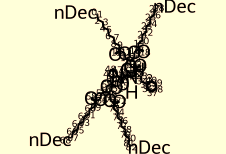 CCCCCCCCCCCCCCCCCCCC(=O)OCC(COC(=O)CCCCCCCCCCCCCCCCCCC)OC(=O)[C@H](CCc1ccccc1)N[C@@H](C)C(=O)N1CCC[C@H]1C(=O)OC(COC(=O)CCCCCCCCCCCCCCCCCCC)COC(=O)CCCCCCCCCCCCCCCCCCC